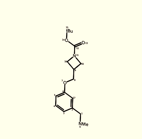 CNCc1cccc(OCC2CN(C(=O)OC(C)(C)C)C2)c1